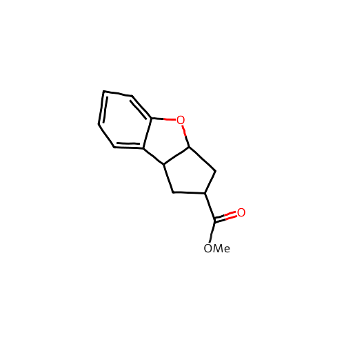 COC(=O)C1CC2Oc3ccccc3C2C1